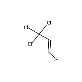 F/C=C/C(Cl)(Cl)Cl